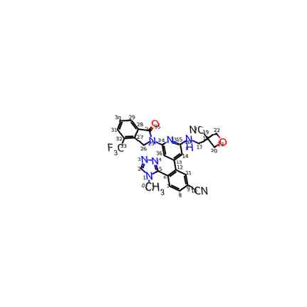 Cn1cnnc1-c1ccc(C#N)cc1-c1cc(NCC2(C#N)COC2)nc(N2Cc3c(cccc3C(F)(F)F)C2=O)c1